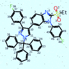 CCS(=O)(=O)c1nc2ccc(-c3cn(C(c4ccccc4)(c4ccccc4)c4ccccc4)nc3-c3ccc(F)cc3)cc2n1-c1ccc(F)cc1